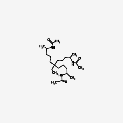 CCC(CCCC(C)NC(C)=O)(CCCC(C)NC(C)=O)CCCC(C)NC(C)=O